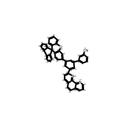 N#Cc1cccc(-c2cc(-c3ccc4c(c3)Oc3ccccc3C43c4ccccc4-c4ccccc43)cc(-c3ccc4ccc5cccnc5c4n3)c2)c1